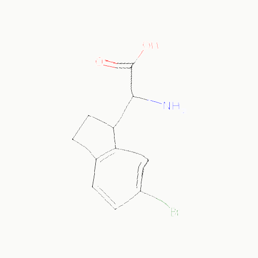 NC(C(=O)O)C1CCc2ccc(Br)cc21